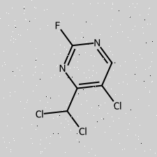 Fc1n[c]c(Cl)c(C(Cl)Cl)n1